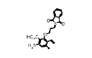 C=Cc1c(C)cc(N)c(C(=O)O)c1OCCCN1C(=O)c2ccccc2C1=O